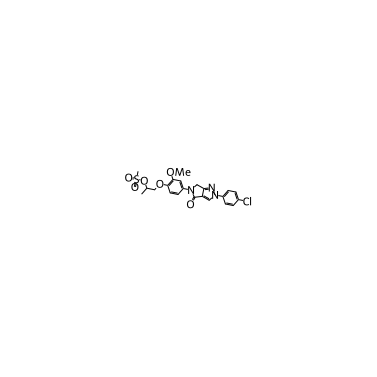 COc1cc(N2Cc3nn(-c4ccc(Cl)cc4)cc3C2=O)ccc1OCC(C)OS(C)(=O)=O